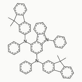 CC1(C)c2ccccc2-c2ccc(N(c3ccccc3)c3cc(N(c4ccccc4)c4ccc5c(c4)C(C)(C)c4ccccc4-5)c4c5ccccc5n(-c5ccccc5)c4c3)cc21